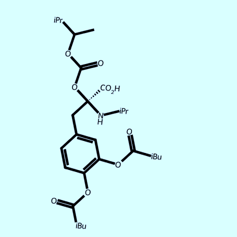 CCC(C)C(=O)Oc1ccc(C[C@](NC(C)C)(OC(=O)OC(C)C(C)C)C(=O)O)cc1OC(=O)C(C)CC